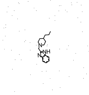 CCCC1CCN(Cc2nc3ccccc3[nH]2)CC1